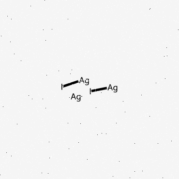 [Ag].[Ag][I].[Ag][I]